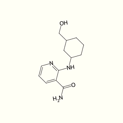 NC(=O)c1cccnc1NC1CCCC(CO)C1